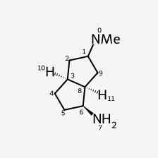 CNC1C[C@@H]2CC[C@H](N)[C@@H]2C1